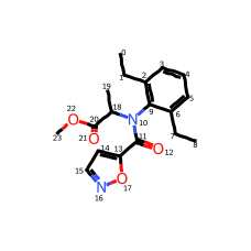 CCc1cccc(CC)c1N(C(=O)c1ccno1)C(C)C(=O)OC